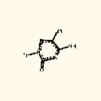 CCn1cc(C(C)C)c(N)nc1=O